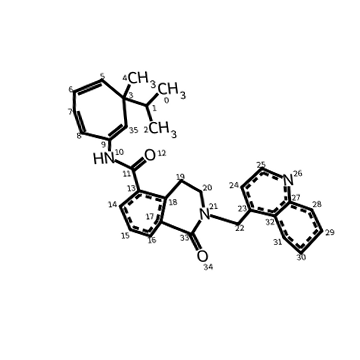 CC(C)C1(C)C=CC=CC(NC(=O)c2cccc3c2CCN(Cc2ccnc4ccccc24)C3=O)=C1